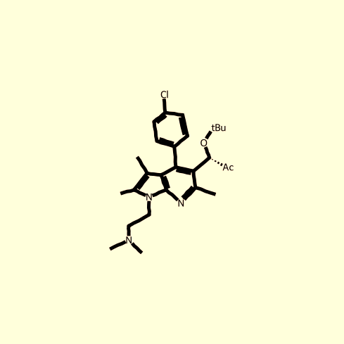 CC(=O)[C@@H](OC(C)(C)C)c1c(C)nc2c(c(C)c(C)n2CCN(C)C)c1-c1ccc(Cl)cc1